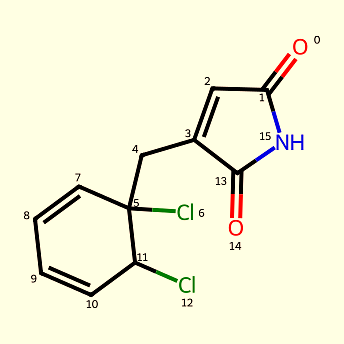 O=C1C=C(CC2(Cl)C=CC=CC2Cl)C(=O)N1